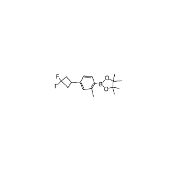 Cc1cc(C2CC(F)(F)C2)ccc1B1OC(C)(C)C(C)(C)O1